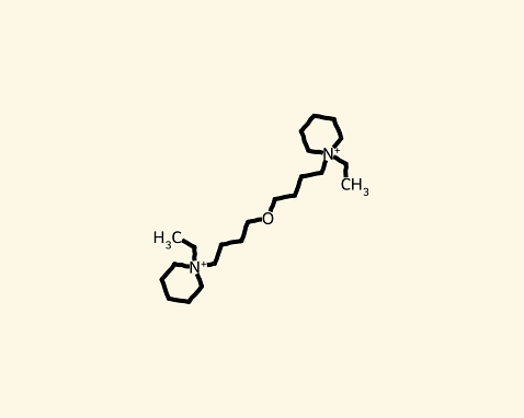 CC[N+]1(CCCCOCCCC[N+]2(CC)CCCCC2)CCCCC1